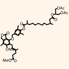 COC(=O)CC/C(C)=C/Cc1c(OC)c(C)c2c(c1OCc1cc(C)c(OC(=O)C(C)CCCCCCCC(C)CC(=O)OC(COC(C)=O)COC(C)=O)c(C)c1)C(=O)OC2